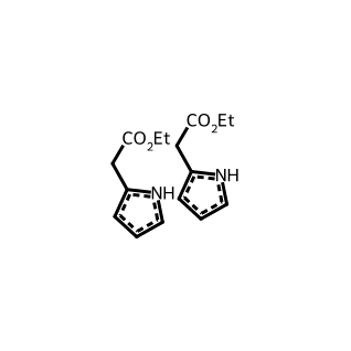 CCOC(=O)Cc1ccc[nH]1.CCOC(=O)Cc1ccc[nH]1